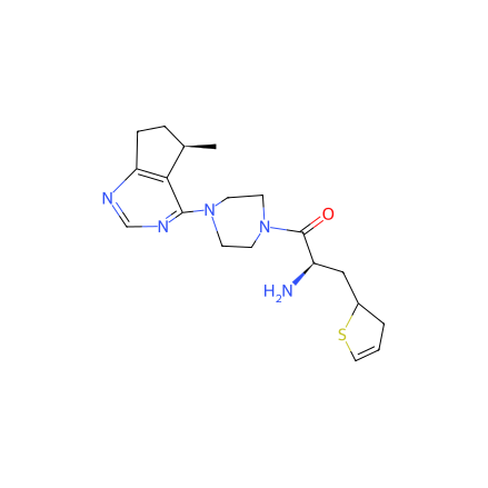 C[C@@H]1CCc2ncnc(N3CCN(C(=O)[C@H](N)CC4CC=CS4)CC3)c21